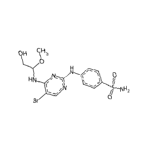 COC(CO)Nc1nc(Nc2ccc(S(N)(=O)=O)cc2)ncc1Br